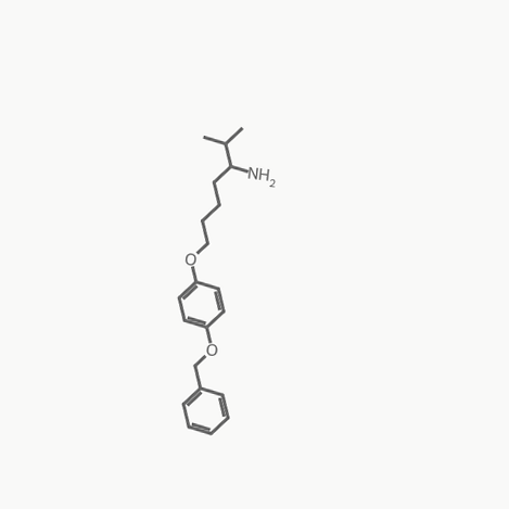 CC(C)C(N)CCCCOc1ccc(OCc2ccccc2)cc1